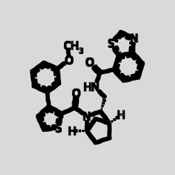 COc1cccc(-c2ccsc2C(=O)N2[C@@H]3CC[C@@H](C3)[C@H]2CNC(=O)c2cccc3ncsc23)c1